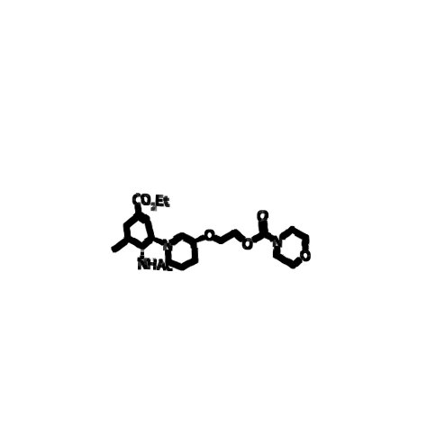 CCOC(=O)C1=C[C@@H](N2CCC[C@H](OCCOC(=O)N3CCOCC3)C2)[C@H](NC(C)=O)C(C)C1